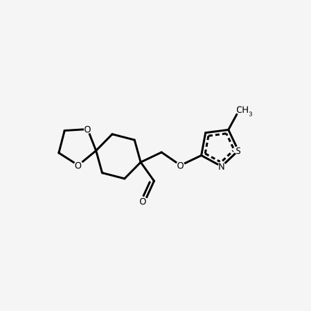 Cc1cc(OCC2(C=O)CCC3(CC2)OCCO3)ns1